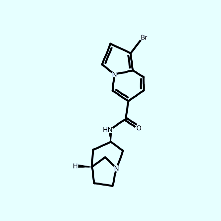 O=C(N[C@@H]1C[C@H]2CCN(C2)C1)c1ccc2c(Br)ccn2c1